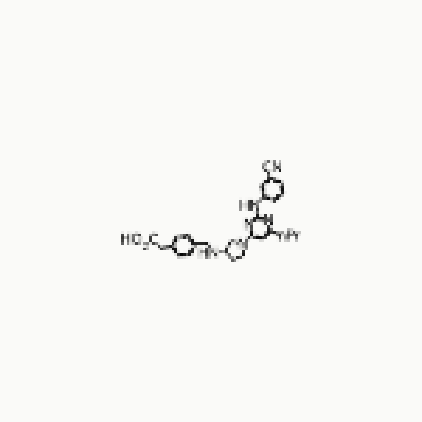 CCCc1cc(N2CC[C@H](NCc3ccc(CC(=O)O)cc3)C2)nc(Nc2cccc(C#N)c2)n1